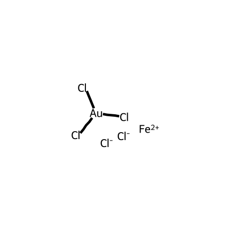 [Cl-].[Cl-].[Cl][Au]([Cl])[Cl].[Fe+2]